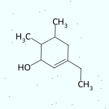 CCC1=CC(O)C(C)C(C)C1